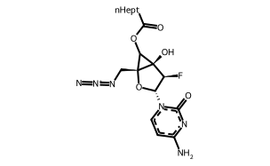 CCCCCCCC(=O)OC1[C@@]2(CN=[N+]=[N-])O[C@@H](n3ccc(N)nc3=O)[C@H](F)[C@@]12O